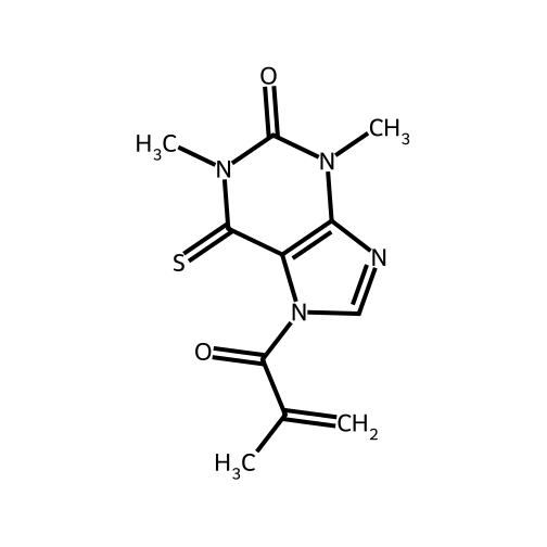 C=C(C)C(=O)n1cnc2c1c(=S)n(C)c(=O)n2C